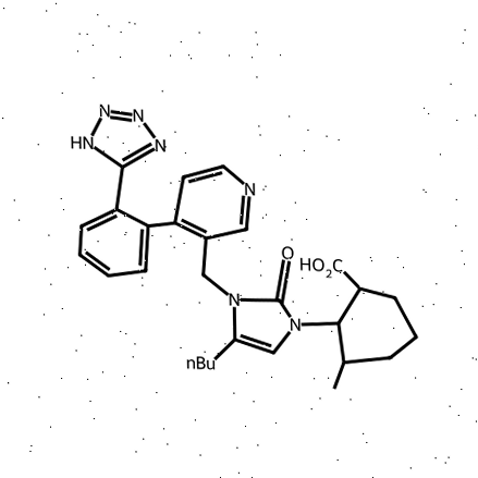 CCCCc1cn(C2C(C)CCCC2C(=O)O)c(=O)n1Cc1cnccc1-c1ccccc1-c1nnn[nH]1